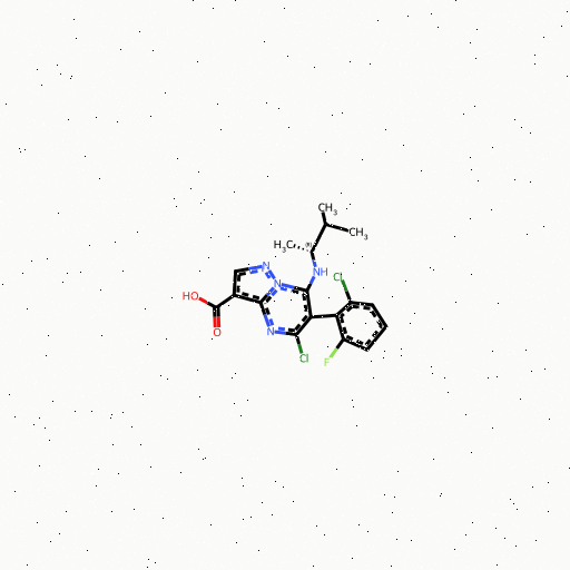 CC(C)[C@@H](C)Nc1c(-c2c(F)cccc2Cl)c(Cl)nc2c(C(=O)O)cnn12